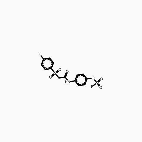 O=C(CS(=O)(=O)c1ccc(F)cc1)Nc1ccc(OS(=O)(=O)F)cc1